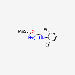 CCc1cccc(CC)c1NCc1nnc(SC)o1